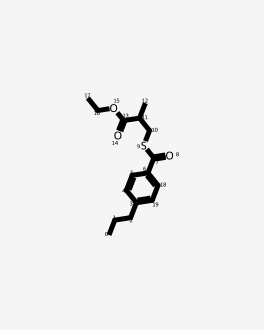 CCCc1ccc(C(=O)SCC(C)C(=O)OCC)cc1